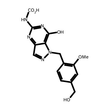 COc1cc(CO)ccc1Cn1ncc2nc(NC(=O)O)nc(O)c21